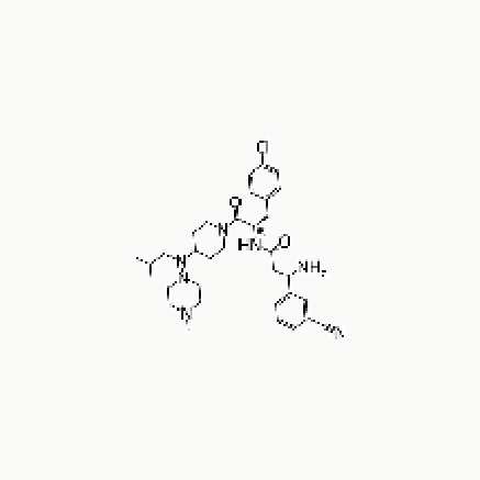 CC(C)CN(C1CCN(C(=O)[C@@H](Cc2ccc(Cl)cc2)NC(=O)CC(N)c2cccc(C#N)c2)CC1)N1CCN(C)CC1